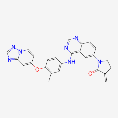 C=C1CCN(c2ccc3ncnc(Nc4ccc(Oc5ccn6ncnc6c5)c(C)c4)c3c2)C1=O